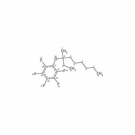 CCCCCCC(C)(CC)Oc1c(F)c(F)c(F)c(F)c1F